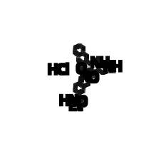 CCNC(=O)c1ccc2c(c1)CCN(C(=O)[C@@H](C(=O)C1CCNCC1)C(N)c1ccc3ccccc3c1)C2.Cl